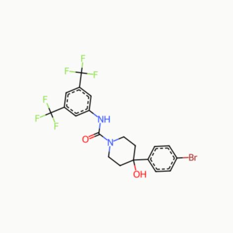 O=C(Nc1cc(C(F)(F)F)cc(C(F)(F)F)c1)N1CCC(O)(c2ccc(Br)cc2)CC1